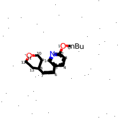 CCCCOc1ccc(/C=C\C2CCOCC2)cn1